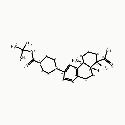 CC(C)(C)OC(=O)N1CCN(c2ccc3c(c2)[C@@]2(C)CCC[C@](C)(C(N)=O)[C@@H]2CC3)CC1